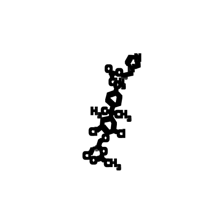 CC(=O)O[C@H](CCl)COc1c(Cl)cc(C(C)(C)c2ccc(OC[C@@H](Cn3ccnc3)OC(C)=O)cc2)cc1Cl